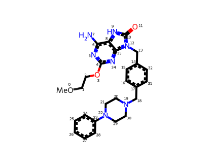 COCCOc1nc(N)c2[nH]c(=O)n(Cc3ccc(CN4CCN(c5ccccc5)CC4)cc3)c2n1